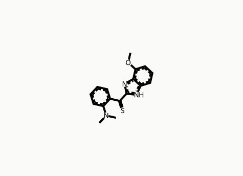 COc1cccc2[nH]c(C(=S)c3ccccc3N(C)C)nc12